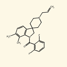 C=CCN1CCC2(CC1)CN(C(=O)c1c(F)cccc1F)c1c2ccc(C)c1C